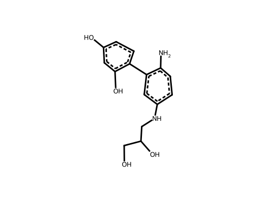 Nc1ccc(NCC(O)CO)cc1-c1ccc(O)cc1O